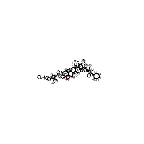 CC(C)C1=C2[C@H]3CC[C@@H]4[C@@]5(C)CC[C@H](OC(=O)[C@H]6C[C@@H](OC=O)C6(C)C)C(C)(C)[C@@H]5CC[C@@]4(C)[C@]3(C)CC[C@@]2(NC(=O)C(C)(C)CC(=O)C2CCCCC2)CC1=O